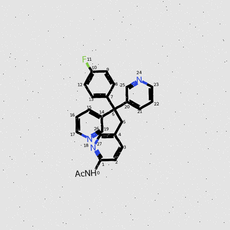 CC(=O)Nc1ccc(CC(c2ccc(F)cc2)(c2cccnc2)c2cccnc2)cn1